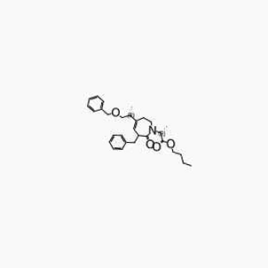 CCCCOC(=O)[C@@H](C)N1CCC([C@@H](C)COCc2ccccc2)=CC(Cc2ccccc2)C1=O